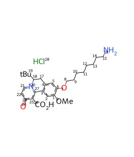 COc1cc2c(cc1OCCCCCCCCN)CC(C(C)(C)C)n1ccc(=O)c(C(=O)O)c1-2.Cl